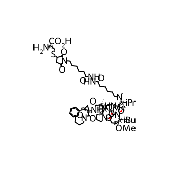 CC[C@H](C)[C@@H]([C@@H](CC(=O)N1CCC[C@H]1[C@H](OC)[C@@H](C)C(=O)N[C@@]1(C(=O)N2CCCCO2)C[C@@H]1c1ccccc1)OC)N(C)C(=O)[C@@H](NC(=O)[C@H](C(C)C)N(C)CCCCCC(=O)NNC(=O)CCCCCN1C(=O)CC(SC[C@H](N)C(=O)O)C1=O)C(C)C